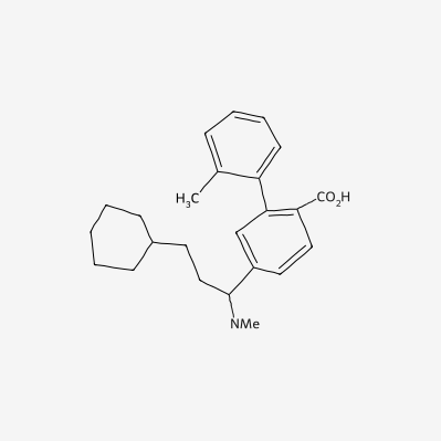 CNC(CCC1CCCCC1)c1ccc(C(=O)O)c(-c2ccccc2C)c1